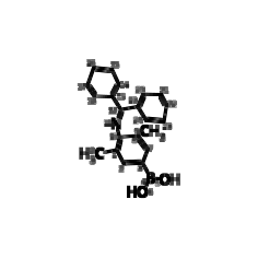 Cc1cc(B(O)O)cc(C)c1N=C(c1ccccc1)c1ccccc1